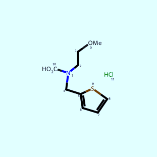 COCCN(Cc1cccs1)C(=O)O.Cl